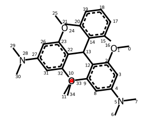 COc1cc(N(C)C)cc(OC)c1C(c1c(C)cccc1C)c1c(OC)cc(N(C)C)cc1OC